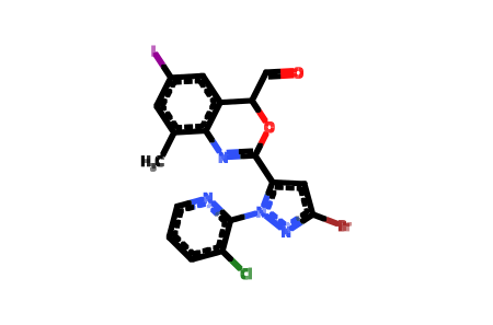 Cc1cc(I)cc2c1N=C(c1cc(Br)nn1-c1ncccc1Cl)OC2C=O